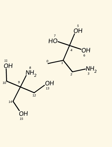 CC(CN)C(O)(O)O.NC(CO)(CO)CO